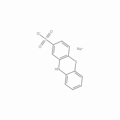 O=S(=O)([O-])c1ccc2c(c1)Nc1ccccc1S2.[Na+]